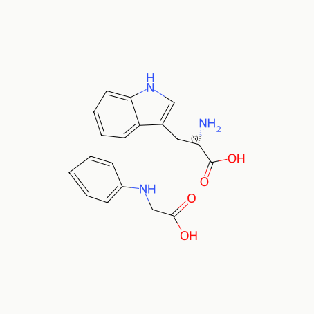 N[C@@H](Cc1c[nH]c2ccccc12)C(=O)O.O=C(O)CNc1ccccc1